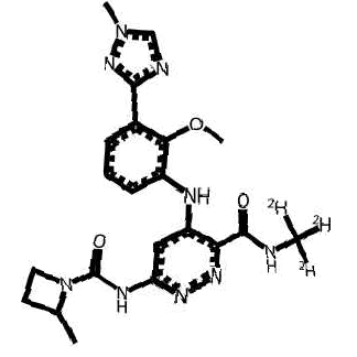 [2H]C([2H])([2H])NC(=O)c1nnc(NC(=O)N2CCC2C)cc1Nc1cccc(-c2ncn(C)n2)c1OC